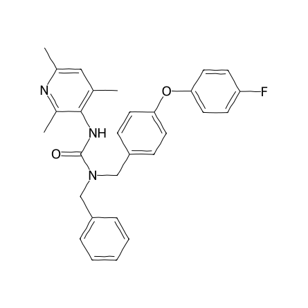 Cc1cc(C)c(NC(=O)N(Cc2ccccc2)Cc2ccc(Oc3ccc(F)cc3)cc2)c(C)n1